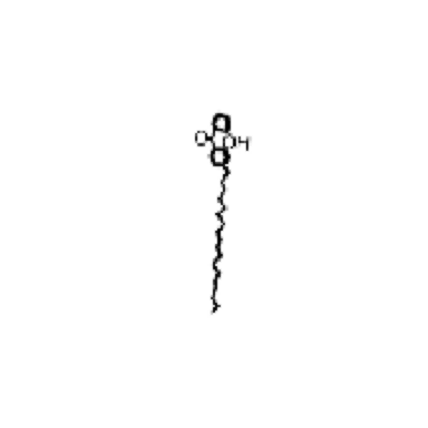 CCCCCCCCCCCCCCCCCCc1ccc(C(=O)c2ccccc2)c(O)c1